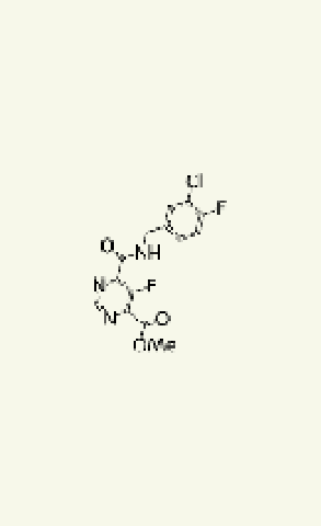 COC(=O)c1ncnc(C(=O)NCc2ccc(F)c(Cl)c2)c1F